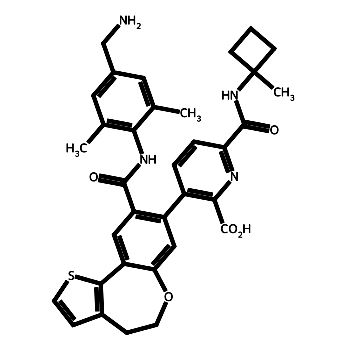 Cc1cc(CN)cc(C)c1NC(=O)c1cc2c(cc1-c1ccc(C(=O)NC3(C)CCC3)nc1C(=O)O)OCCc1ccsc1-2